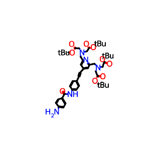 CC(C)(C)OC(=O)CN(CC(=O)OC(C)(C)C)Cc1cc(C#Cc2ccc(NC(=O)c3ccc(N)cc3)cc2)cc(CN(CC(=O)OC(C)(C)C)CC(=O)OC(C)(C)C)n1